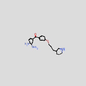 Nc1ccc(C(=O)c2ccc(OCCCC3CCCNC3)cc2)cc1N